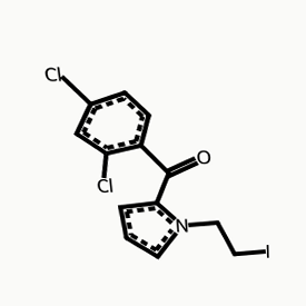 O=C(c1ccc(Cl)cc1Cl)c1cccn1CCI